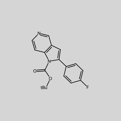 CC(C)(C)OC(=O)n1c(-c2ccc(F)cc2)cc2cnccc21